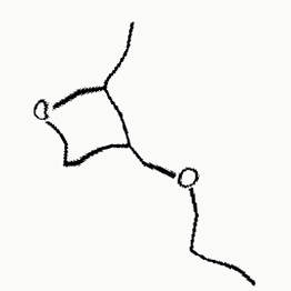 CCOC1COC1C